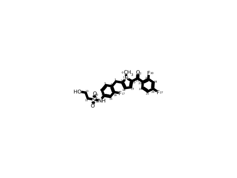 Cn1c(Cc2ccc(NS(=O)(=O)CCO)cc2F)ccc1C(=O)c1ccc(F)cc1F